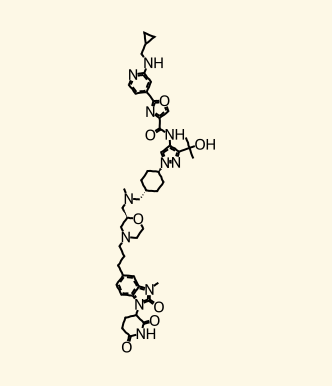 CN(C[C@@H]1CN(CCCc2ccc3c(c2)n(C)c(=O)n3C2CCC(=O)NC2=O)CCO1)C[C@H]1CC[C@H](n2cc(NC(=O)c3coc(-c4ccnc(NCC5CC5)c4)n3)c(C(C)(C)O)n2)CC1